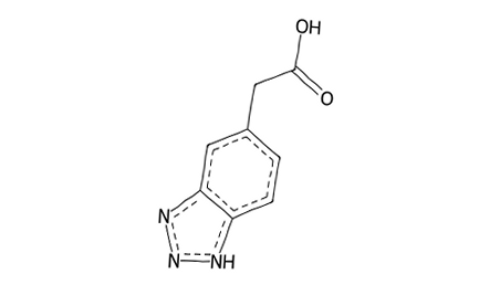 O=C(O)Cc1ccc2[nH]nnc2c1